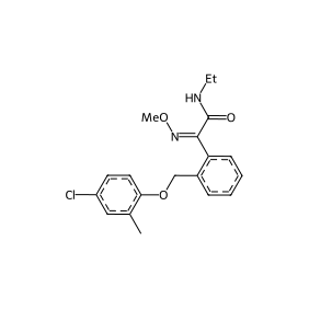 CCNC(=O)C(=NOC)c1ccccc1COc1ccc(Cl)cc1C